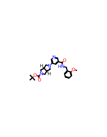 COc1ccccc1CNC(=O)c1cncc(N2C[C@H]3CN(C(=O)OC(C)(C)C)C[C@H]3C2)c1